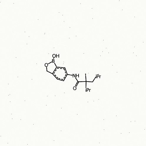 CC(C)CC(C)(C(=O)Nc1ccc2c(c1)B(O)OC2)C(C)C